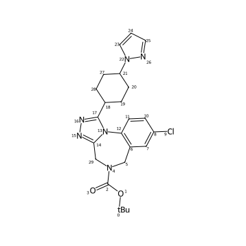 CC(C)(C)OC(=O)N1Cc2cc(Cl)ccc2-n2c(nnc2C2CCC(n3cccn3)CC2)C1